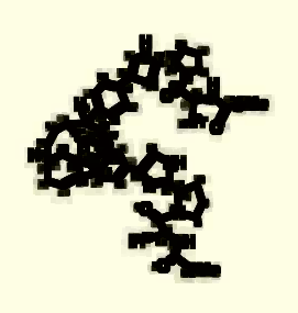 CSC(=O)N[C@H](C(=O)N1CCC[C@H]1c1nc(-c2ccc([C@@H]3C[C@H]4CC=C3CCC3=C[C@@H](c5ccc(-c6c[nH]c([C@@H]7CCCN7C(=O)[C@@H](NC(=O)SC)C(C)C)n6)cc5)C(CC3)CC4)cc2)c[nH]1)C(C)C